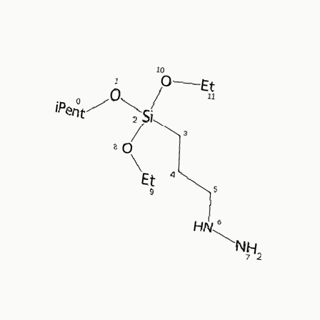 CCCC(C)O[Si](CCCNN)(OCC)OCC